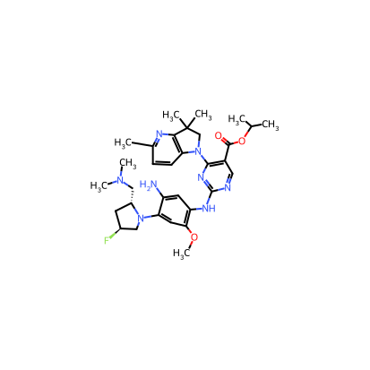 COc1cc(N2C[C@@H](F)C[C@@H]2CN(C)C)c(N)cc1Nc1ncc(C(=O)OC(C)C)c(N2CC(C)(C)c3nc(C)ccc32)n1